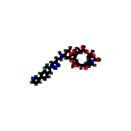 CO[C@]1(C)C[C@@H](C)C(=O)[C@H](C)[C@H]2N(C)C(=O)O[C@]2(C)[C@@H](I)OC(=O)[C@H](C)C(=O)[C@H](C)[C@H]1O[C@H]1C[C@@H](N(C)CCc2cn([C@H](CF)Cc3ccc(-c4cccnc4)cc3)nn2)C[C@@H](C)O1